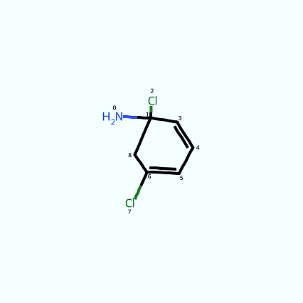 NC1(Cl)C=CC=C(Cl)C1